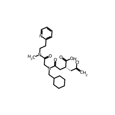 C=C(Cl)C[C@H](CC(=O)N(CC(=O)N(C)CCc1ccccn1)CC1CCCCC1)C(=O)O